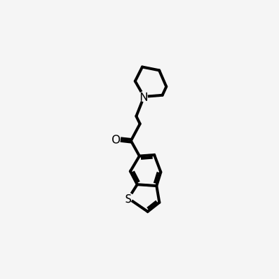 O=C(CCN1CCCCC1)c1ccc2ccsc2c1